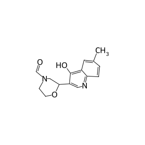 Cc1ccc2ncc(C3CN(C=O)CCO3)c(O)c2c1